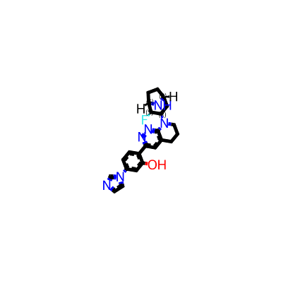 Oc1cc(-n2ccnc2)ccc1-c1cc2c(nn1)N([C@@H]1C[C@H]3CC[C@H](N3)[C@@H]1F)CCC2